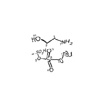 CCCCOS(=O)(=O)OS(=O)(=O)O.NCCO